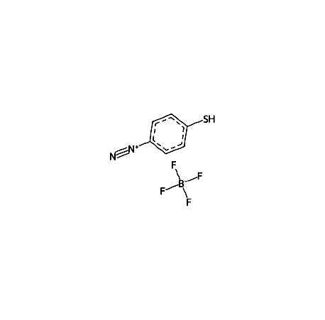 F[B-](F)(F)F.N#[N+]c1ccc(S)cc1